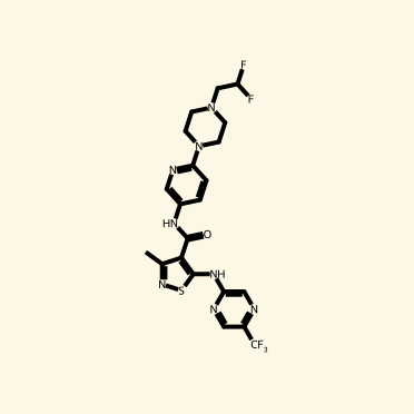 Cc1nsc(Nc2cnc(C(F)(F)F)cn2)c1C(=O)Nc1ccc(N2CCN(CC(F)F)CC2)nc1